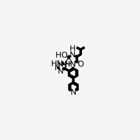 CC(C)CC(NC(=O)O)C(=O)Nc1ccc(-c2ccncc2)cc1-c1nn[nH]n1